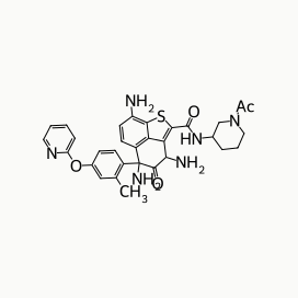 CC(=O)N1CCCC(NC(=O)c2sc3c(N)ccc4c3c2C(N)C(=O)C4(N)c2ccc(Oc3ccccn3)cc2C)C1